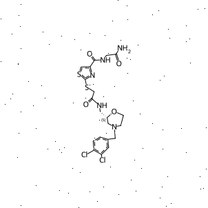 NC(=O)CNC(=O)c1csc(SCC(=O)NC[C@H]2CN(Cc3ccc(Cl)c(Cl)c3)CCO2)n1